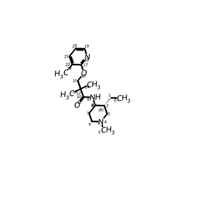 CC[C@@H]1CN(C)CC[C@H]1NC(=O)C(C)(C)COc1ncccc1C